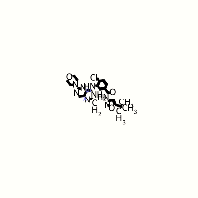 C=C/N=C1/C=NC(N2CCOCC2)=N/C1=C(/N)Nc1cc(C(=O)Nc2cc(C(C)(C)C)on2)ccc1Cl